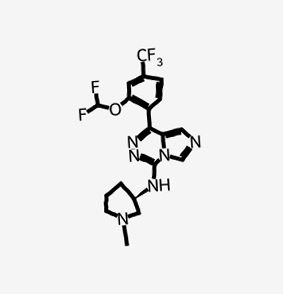 CN1CCC[C@@H](Nc2nnc(-c3ccc(C(F)(F)F)cc3OC(F)F)c3cncn23)C1